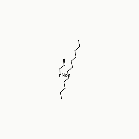 C=CCCCCCCCCCC.CCCCCCCCCCCC